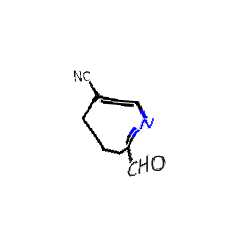 N#CC1=CN=C(C=O)CC1